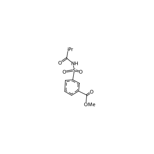 COC(=O)c1cccc(S(=O)(=O)NC(=O)C(C)C)c1